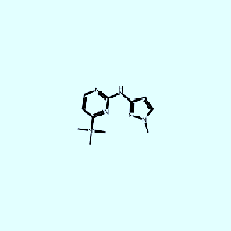 Cn1ccc(Nc2ncc[c]([Sn]([CH3])([CH3])[CH3])n2)n1